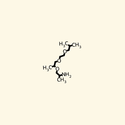 CC(C)COCCOCC(C)OCC(C)N